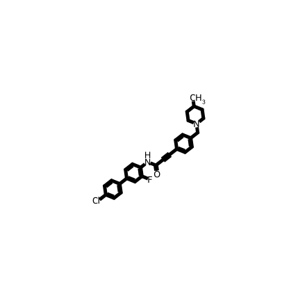 CC1CCN(Cc2ccc(C#CC(=O)Nc3ccc(-c4ccc(Cl)cc4)cc3F)cc2)CC1